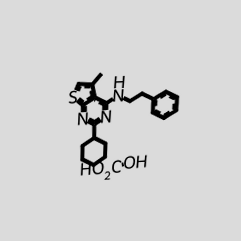 Cc1csc2nc(C3CCCCC3)nc(NCCc3ccccc3)c12.O=C(O)O